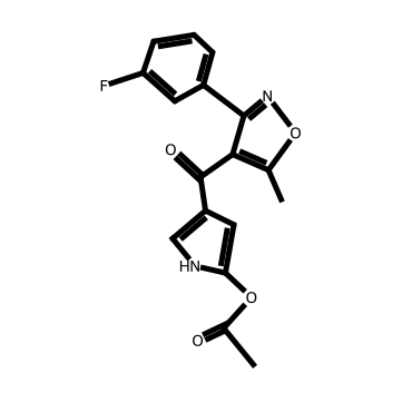 CC(=O)Oc1cc(C(=O)c2c(-c3cccc(F)c3)noc2C)c[nH]1